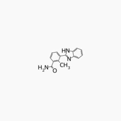 Cc1c(C(N)=O)cccc1-c1nc2ccccc2[nH]1